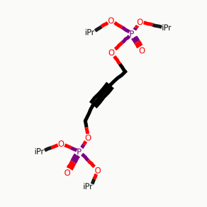 CC(C)OP(=O)(OCC#CCOP(=O)(OC(C)C)OC(C)C)OC(C)C